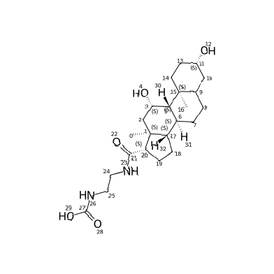 C[C@]12C[C@H](O)[C@H]3[C@@H](CCC4C[C@@H](O)CC[C@@]43C)[C@@H]1CC[C@@H]2C(=O)NCCNC(=O)O